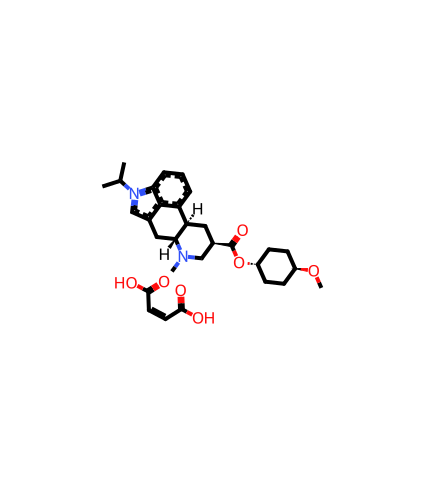 CO[C@H]1CC[C@H](OC(=O)[C@@H]2C[C@@H]3c4cccc5c4c(cn5C(C)C)C[C@H]3N(C)C2)CC1.O=C(O)/C=C\C(=O)O